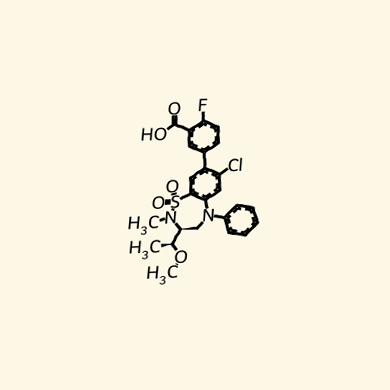 CO[C@@H](C)[C@@H]1CN(c2ccccc2)c2cc(Cl)c(-c3ccc(F)c(C(=O)O)c3)cc2S(=O)(=O)N1C